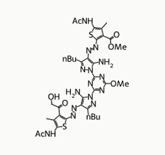 CCCCc1nn(-c2nc(OC)nc(-n3nc(CCCC)c(/N=N/c4sc(NC(C)=O)c(C)c4C(=O)OC)c3N)n2)c(N)c1/N=N/c1sc(NC(C)=O)c(C)c1C(=O)CO